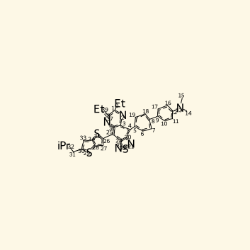 CCc1nc2c(-c3ccc(-c4ccc(N(C)C)cc4)cc3)c3nsnc3c(-c3cc4sc(CC(C)C)cc4s3)c2nc1CC